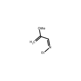 C=C(/C=N\CC)OC